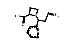 C=CCC(c1ccccc1)N1CCC1C(=O)O